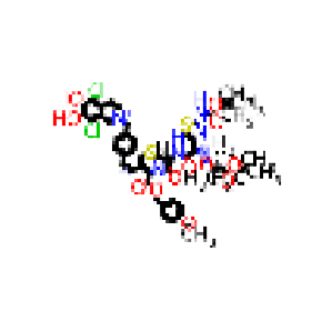 COc1ccc(COC(=O)C2=C(/C=C\c3ccc(C[n+]4ccc5c(Cl)c(O)c(O)c(Cl)c5c4)cc3)CS[C@@H]3[C@H](NC(=O)/C(=N\OC(C)(C)C(=O)OC(C)(C)C)c4csc(NC(=O)OC(C)(C)C)n4)C(=O)N23)cc1